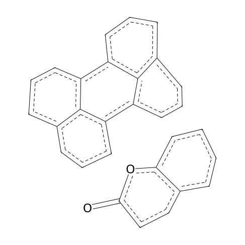 O=c1ccc2ccccc2o1.c1cc2cccc3c4cccc5cccc(c(c1)c23)c54